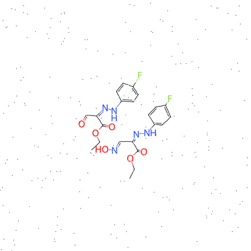 CCOC(=O)C(C=NO)=NNc1ccc(F)cc1.CCOC(=O)C(C=O)=NNc1ccc(F)cc1